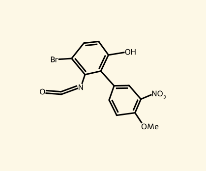 COc1ccc(-c2c(O)ccc(Br)c2N=C=O)cc1[N+](=O)[O-]